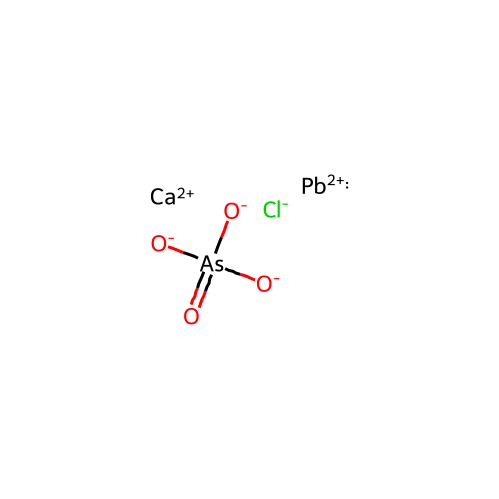 O=[As]([O-])([O-])[O-].[Ca+2].[Cl-].[Pb+2]